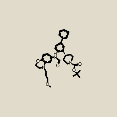 COCCCN1CCOc2ccc(NC(=O)[C@H]3CN(C(=O)OC(C)(C)C)CC[C@@H]3c3cccc(-c4ccccc4)c3)cc21